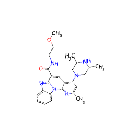 COCCNC(=O)c1cc2c(N3CC(C)NC(C)C3)cc(C)nc2n2c1nc1ccccc12